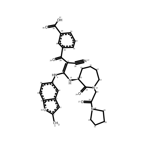 Cc1cc2cc(NC(N[C@H]3CCCCN(CC(=O)N4CCCC4)C3=O)=C(C#N)C(=O)c3cccc(C(=O)O)c3)ccc2o1